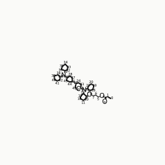 C=CC(=O)OCCCOc1ccccc1N(c1ccccc1)c1ccc(-c2ccc(N(c3ccccc3)c3ccccc3)cc2)cc1